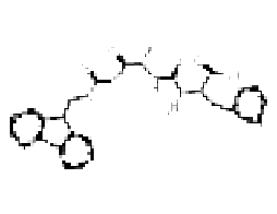 C[C@@H](NC(=O)[C@@H](N)C(Cc1ccccc1)C(=O)O)C(=O)NC(=O)OCC1c2ccccc2-c2ccccc21